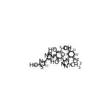 Cc1nnc([C@@H]2O[C@H](CO)[C@H](O)[C@H](n3cc(-c4csc(O)n4)nn3)[C@H]2O)n1-c1cc(Cl)ccc1C(F)(F)F